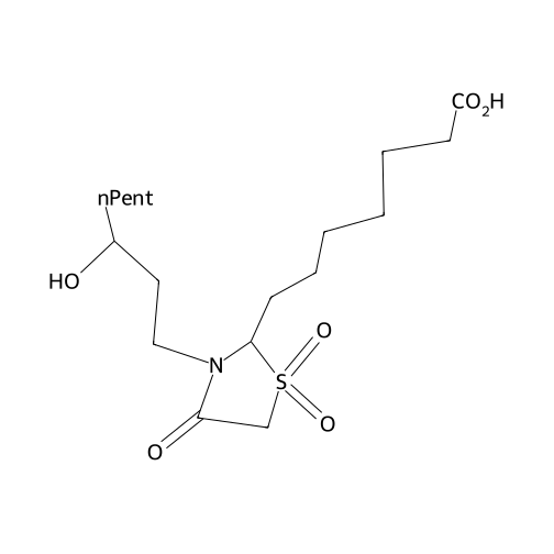 CCCCCC(O)CCN1C(=O)CS(=O)(=O)C1CCCCCCC(=O)O